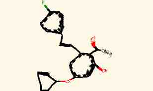 COC(=O)c1c(O)cc(OC2CCCC2)cc1C=Cc1ccc(F)cc1